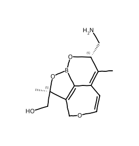 CC1=C2C=COCC3=C2B(O[C@@H]1CN)O[C@]3(C)CO